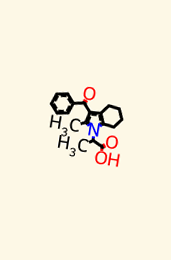 Cc1c(C(=O)c2ccccc2)c2c(n1C(C)C(=O)O)CCCC2